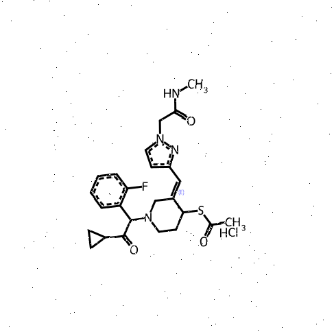 CNC(=O)Cn1ccc(/C=C2\CN(C(C(=O)C3CC3)c3ccccc3F)CCC2SC(C)=O)n1.Cl